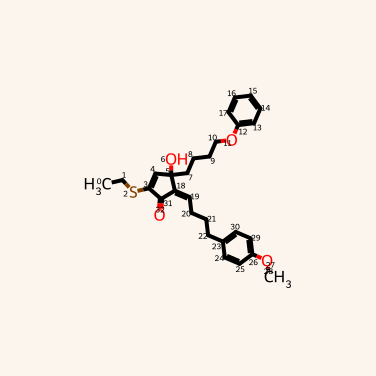 CCSC1=CC(O)(CCCCOc2ccccc2)C(=CCCCc2ccc(OC)cc2)C1=O